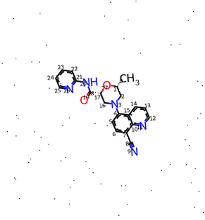 C[C@@H]1CN(c2ccc(C#N)c3ncccc23)C[C@H](C(=O)Nc2ccccn2)O1